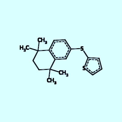 CC1(C)CCC(C)(C)c2cc(Sc3cccs3)ccc21